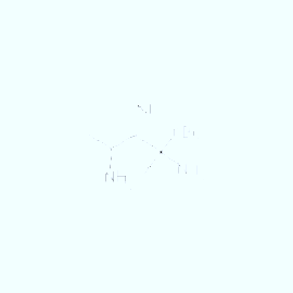 CCCCC(C)(N)CC(C)N.N